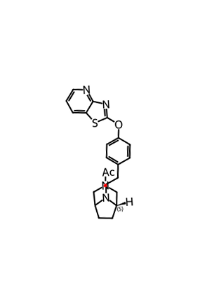 CC(=O)N1CC2CC[C@@H](C1)N2CCc1ccc(Oc2nc3ncccc3s2)cc1